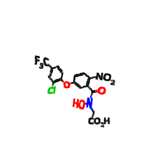 O=C(O)CN(O)C(=O)c1cc(Oc2ccc(C(F)(F)F)cc2Cl)ccc1[N+](=O)[O-]